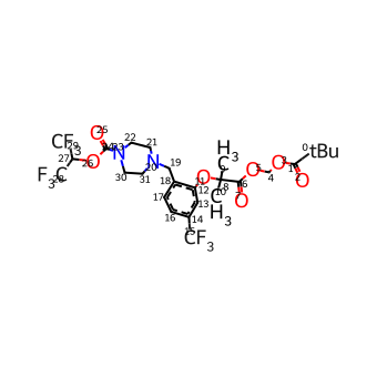 CC(C)(C)C(=O)OCOC(=O)C(C)(C)Oc1cc(C(F)(F)F)ccc1CN1CCN(C(=O)OC(C(F)(F)F)C(F)(F)F)CC1